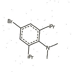 CC(C)c1cc(Br)cc(C(C)C)c1N(C)C